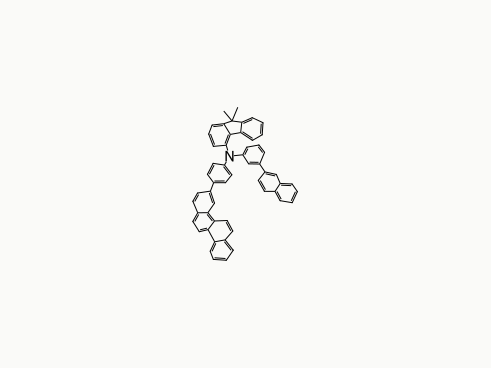 CC1(C)c2ccccc2-c2c(N(c3ccc(-c4ccc5ccc6c7ccccc7ccc6c5c4)cc3)c3cccc(-c4ccc5ccccc5c4)c3)cccc21